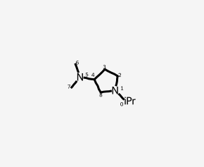 CC(C)N1CCC(N(C)C)C1